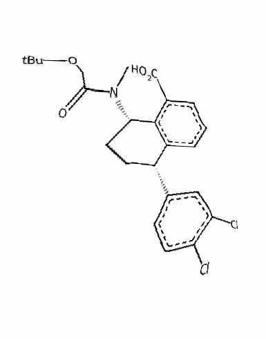 CN(C(=O)OC(C)(C)C)[C@H]1CC[C@@H](c2ccc(Cl)c(Cl)c2)c2cccc(C(=O)O)c21